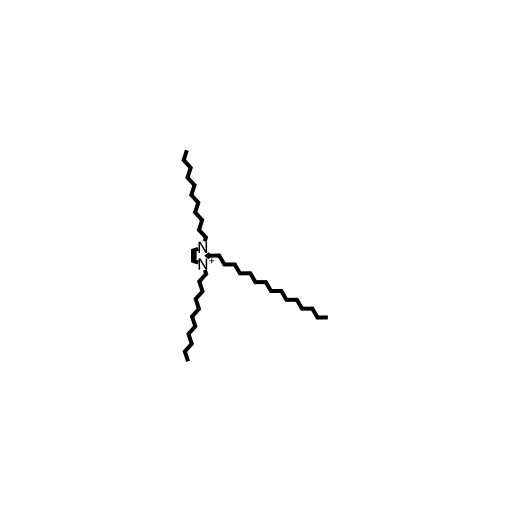 CCCCCCCCCCCCCCCc1n(CCCCCCCCCCC)cc[n+]1CCCCCCCCCCC